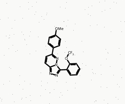 COc1ccc(-c2ccc3nnc(-c4ccccc4OC(F)(F)F)n3n2)cc1